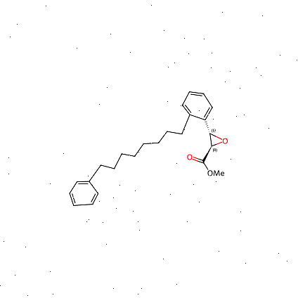 COC(=O)[C@@H]1O[C@H]1c1ccccc1CCCCCCCCc1ccccc1